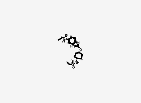 CCS(=O)(=O)N[C@H]1CC[C@H](Oc2nc3ccc(S(=O)(=O)CC)cc3[nH]2)CC1